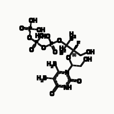 Bc1c(B)n(C(CO)O[C@@](F)(CO)C(B)(B)OP(=O)(O)OP(=O)(O)OP(=O)(O)O)c(=O)[nH]c1=O